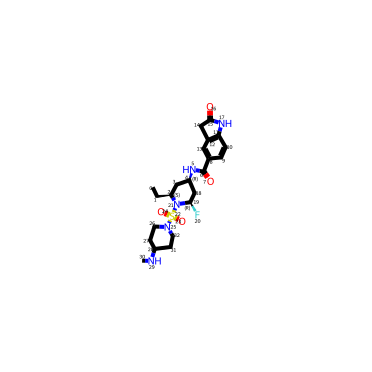 CC[C@H]1C[C@@H](NC(=O)c2ccc3c(c2)CC(=O)N3)C[C@@H](F)N1S(=O)(=O)N1CCC(NC)CC1